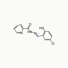 O=C(N/N=C/c1cc(Cl)ccc1O)c1ccccn1